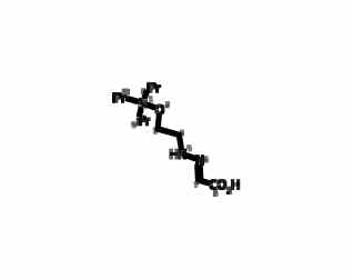 CC(C)[Si](OCCN/N=C/C(=O)O)(C(C)C)C(C)C